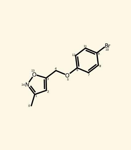 Cc1cc(COc2ccc(Br)cc2)on1